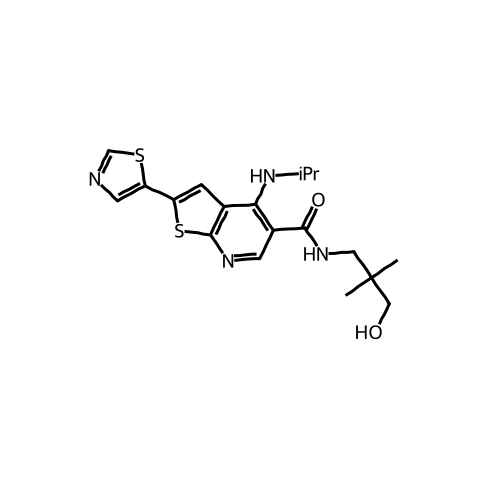 CC(C)Nc1c(C(=O)NCC(C)(C)CO)cnc2sc(-c3cncs3)cc12